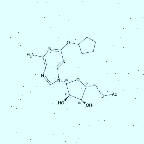 CC(=O)SC[C@H]1O[C@@H](n2cnc3c(N)nc(OC4CCCC4)nc32)[C@H](O)[C@@H]1O